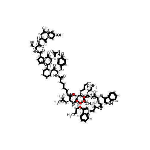 CCCC[C@@H](C(=O)N(C)[C@@H](CCCC)C(=O)N[C@@H](CC(C)C)C(=O)NCCCCC(=O)N[C@@H](Cc1ccc(Cl)cc1)C(=O)N1CCCC[C@H]1C(=O)N[C@@H](CC(N)=O)C(=O)N1CCC[C@H]1C(=O)N[C@@H](CN)C(=O)N[C@@H](CC(C)C)C(=O)N1CC[C@@H](O)C1)N(C)C(=O)[C@H](Cc1cn(CC(=O)O)c2ccccc12)NC(=O)[C@H](CCN)NC(=O)[C@H](Cc1c[nH]c2ccccc12)NC=O